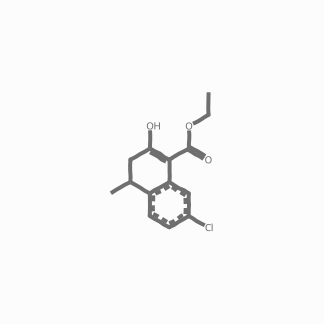 CCOC(=O)C1=C(O)CC(C)c2ccc(Cl)cc21